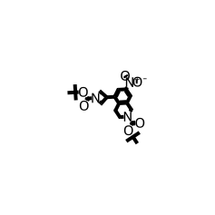 CC(C)(C)OC(=O)N1CCc2c(cc([N+](=O)[O-])cc2C2CN(C(=O)OC(C)(C)C)C2)C1